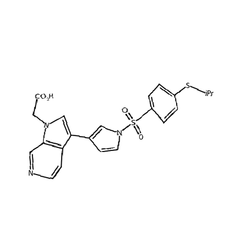 CC(C)Sc1ccc(S(=O)(=O)n2ccc(-c3cn(CC(=O)O)c4cnccc34)c2)cc1